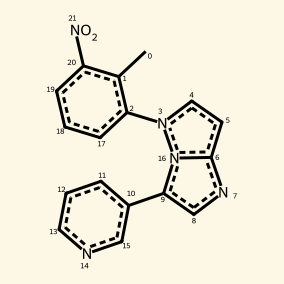 Cc1c(-n2ccc3ncc(-c4cccnc4)n32)cccc1[N+](=O)[O-]